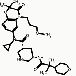 COCCCN1C(=O)C(C)(C)Oc2ccc(N(C(=O)[C@H]3CNC[C@@H](NC(=O)C(C)(C)C4CCOCC4)C3)C3CC3)cc21